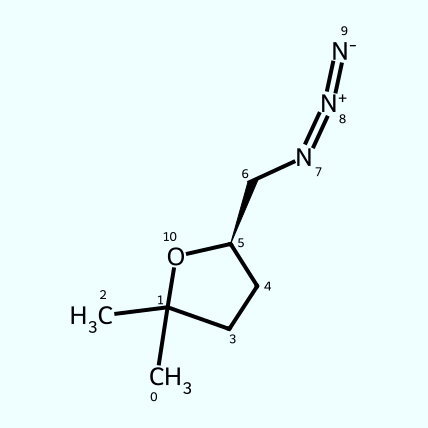 CC1(C)CC[C@H](CN=[N+]=[N-])O1